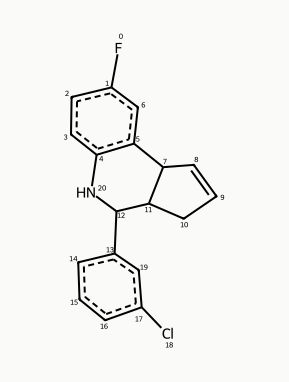 Fc1ccc2c(c1)C1C=CCC1C(c1cccc(Cl)c1)N2